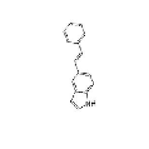 C(=Cc1ccc2[nH]ccc2c1)c1ccccc1